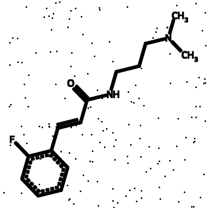 CN(C)CCCNC(=O)/C=C/c1ccccc1F